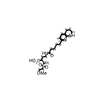 COCCS(=O)(=O)NC(CCNC(=O)CCCCc1ccc2c(n1)NCCC2)C(=O)O